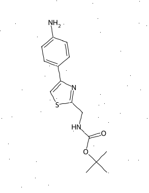 CC(C)(C)OC(=O)NCc1nc(-c2ccc(N)cc2)cs1